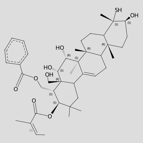 C/C=C(/C)C(=O)O[C@H]1[C@H](COC(=O)c2ccccc2)[C@@]2(CO)C(CC1(C)C)C1=CCC3[C@@]4(C)CC[C@H](O)[C@@](C)(S)C4CC[C@@]3(C)[C@]1(C)[C@@H](O)[C@H]2O